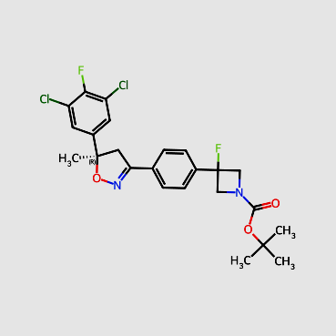 CC(C)(C)OC(=O)N1CC(F)(c2ccc(C3=NO[C@@](C)(c4cc(Cl)c(F)c(Cl)c4)C3)cc2)C1